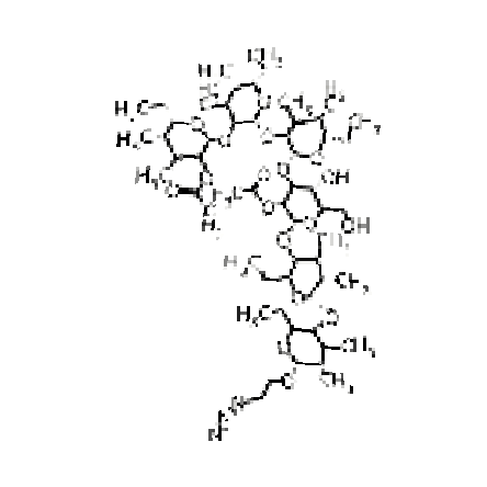 CCC1O[C@@H](OCCN=[N+]=[N-])[C@@H](C)C(C)[C@@H]1O[C@@H]1OC(CC)[C@@H](O[C@@H]2OC(CO)[C@@H](O)C(O[C@H]3O[C@@H](CC)[C@@H](C)C(C)C3O[C@H]3O[C@@H](CC)[C@@H](C)C(C)C3O[C@H]3O[C@@H](CC)[C@@H](C)C(C)C3OC(C)=O)[C@H]2OC(C)=O)C(C)[C@@H]1C